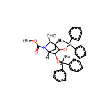 CC(C)(C)OC(=O)N1[C@@H]2C[C@@H]([C@@H](O[Si](c3ccccc3)(c3ccccc3)C(C)(C)C)[C@H]2O[Si](c2ccccc2)(c2ccccc2)C(C)(C)C)[C@@H]1C=O